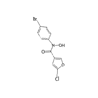 O=C(c1coc(Cl)c1)N(O)c1ccc(Br)cc1